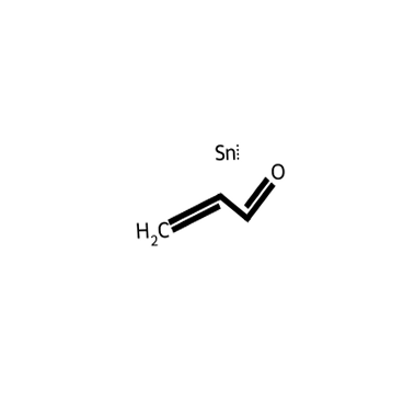 C=CC=O.[Sn]